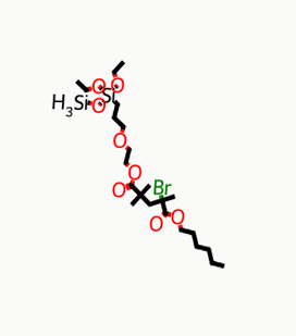 CCCCCCOC(=O)C(C)(Br)CC(C)(C)C(=O)OCCOCCC[Si](O[SiH3])(OCC)OCC